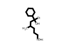 CCCCCCCCCCCCCC(C)CC(O)(CC)C1CCCCC1